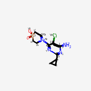 Nc1nc(C2CC2)nc(N2CCS(=O)(=O)CC2)c1Cl